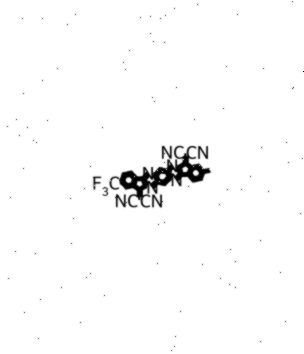 Cc1ccc2c(c1)C(=C(C#N)C#N)c1nc3cc4nc5c(nc4cc3nc1-2)C(=C(C#N)C#N)c1cc(C(F)(F)F)ccc1-5